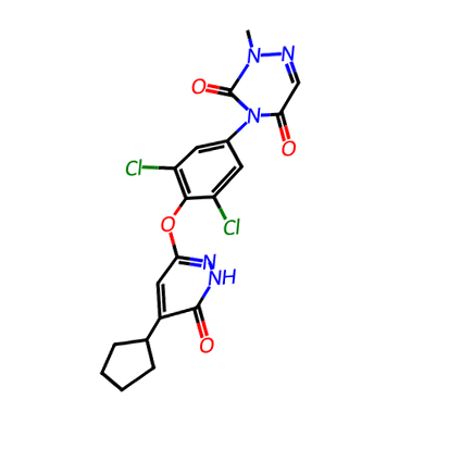 Cn1ncc(=O)n(-c2cc(Cl)c(Oc3cc(C4CCCC4)c(=O)[nH]n3)c(Cl)c2)c1=O